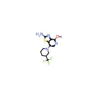 COc1ncc(N2CCCC(C(F)(F)F)C2)c2sc(N)nc12